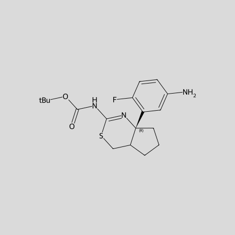 CC(C)(C)OC(=O)NC1=N[C@]2(c3cc(N)ccc3F)CCCC2CS1